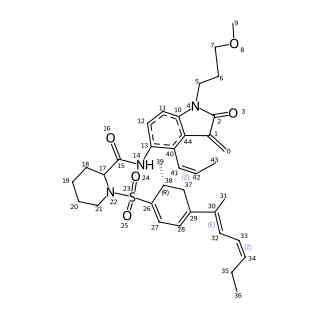 C=C1C(=O)N(CCCOC)c2ccc(NC(=O)C3CCCCN3S(=O)(=O)C3=CC=C(/C(C)=C/C=C\CC)C[C@H]3C)c(/C=C\C)c21